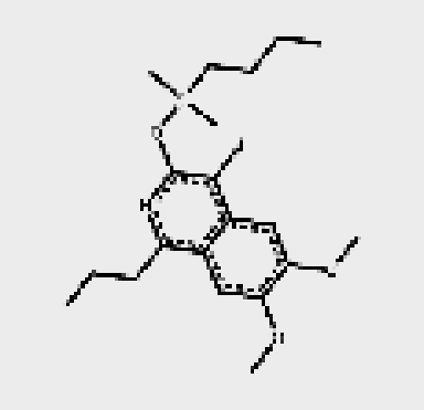 CCCC[Si](C)(C)Oc1nc(CCC)c2cc(OC)c(OC)cc2c1I